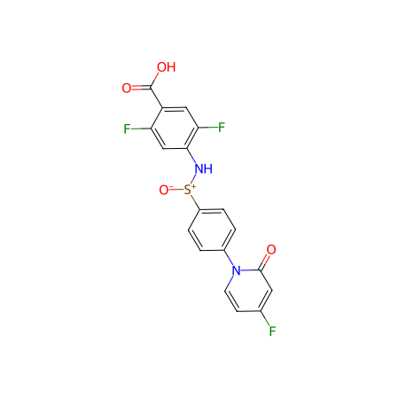 O=C(O)c1cc(F)c(N[S+]([O-])c2ccc(-n3ccc(F)cc3=O)cc2)cc1F